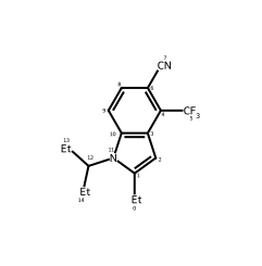 CCc1cc2c(C(F)(F)F)c(C#N)ccc2n1C(CC)CC